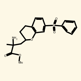 CC(C)(C)OC(=O)C(C)(N)CC1CCc2ccc(S(=O)(=O)c3ccccc3)cc2O1